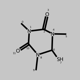 CN1C(=O)N(C)C(S)N(C)C1=O